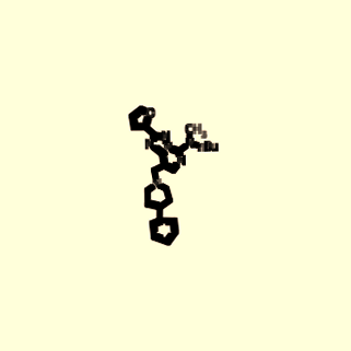 CCCCN(C)c1ncc(CN2CC=C(c3ccccc3)CC2)c2nc(-c3ccco3)nn12